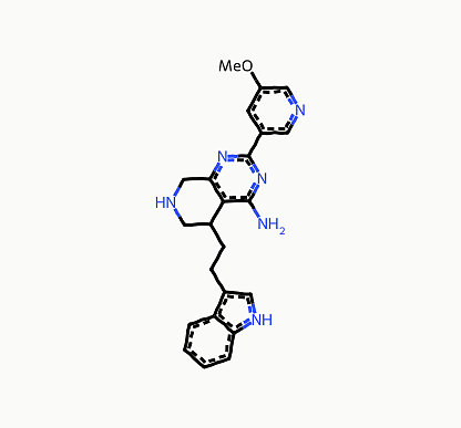 COc1cncc(-c2nc(N)c3c(n2)CNCC3CCc2c[nH]c3ccccc23)c1